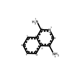 Nc1cnc(N)c2ccccc12